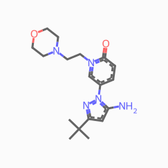 CC(C)(C)c1cc(N)n(-c2ccc(=O)n(CCN3CCOCC3)c2)n1